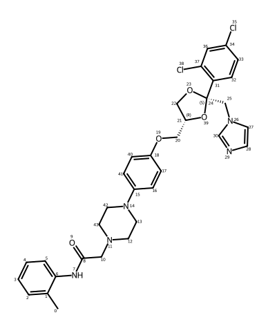 Cc1ccccc1NC(=O)CN1CCN(c2ccc(OC[C@@H]3CO[C@@](Cn4ccnc4)(c4ccc(Cl)cc4Cl)O3)cc2)CC1